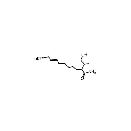 CCCCCCCCCCCC=CCCCCCC(C(N)=O)C(C)CO